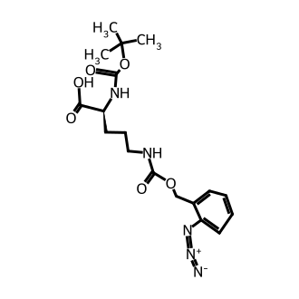 CC(C)(C)OC(=O)N[C@@H](CCCNC(=O)OCc1ccccc1N=[N+]=[N-])C(=O)O